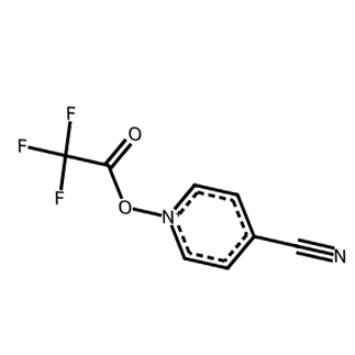 N#Cc1cc[n+](OC(=O)C(F)(F)F)cc1